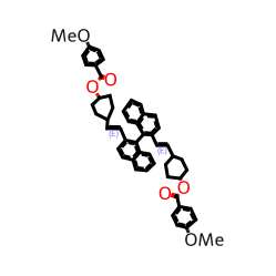 COc1ccc(C(=O)OC2CCC(/C=C/c3ccc4ccccc4c3-c3c(/C=C/C4CCC(OC(=O)c5ccc(OC)cc5)CC4)ccc4ccccc34)CC2)cc1